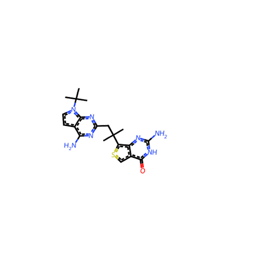 CC(C)(Cc1nc(N)c2ccn(C(C)(C)C)c2n1)c1scc2c(=O)[nH]c(N)nc12